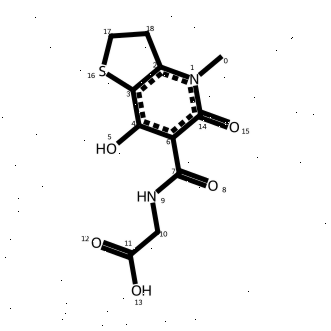 Cn1c2c(c(O)c(C(=O)NCC(=O)O)c1=O)SCC2